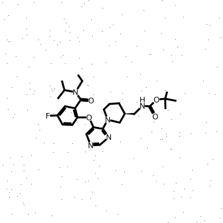 CCN(C(=O)c1cc(F)ccc1Oc1cncnc1N1CCC[C@@H](CNC(=O)OC(C)(C)C)C1)C(C)C